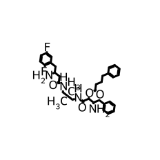 CC(C)(CNC(=O)CC(N)Cc1cc(F)ccc1F)CNC(=O)C(OC(=O)CCCc1ccccc1)C(N)Cc1ccccc1